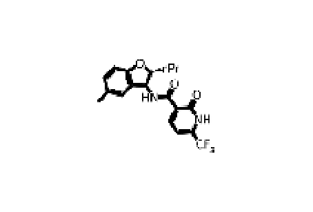 CCC[C@@H]1Oc2ccc(C)cc2C1NC(=O)c1ccc(C(F)(F)F)[nH]c1=O